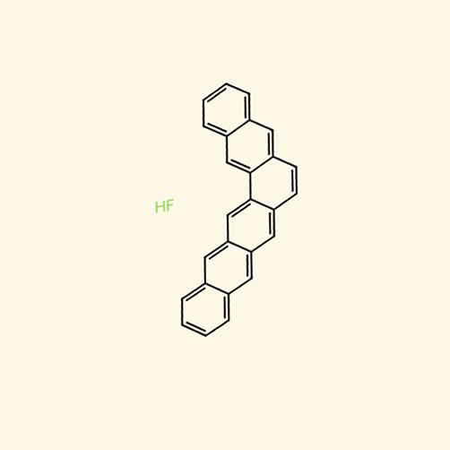 F.c1ccc2cc3cc4c(ccc5cc6ccccc6cc54)cc3cc2c1